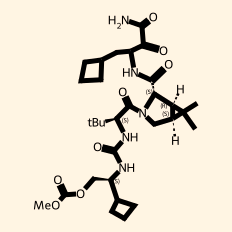 COC(=O)OC[C@@H](NC(=O)N[C@H](C(=O)N1C[C@H]2[C@@H]([C@H]1C(=O)NC(CC1CCC1)C(=O)C(N)=O)C2(C)C)C(C)(C)C)C1CCC1